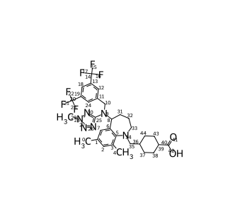 Cc1cc(C)c2c(c1)C(N(Cc1cc(C(F)(F)F)cc(C(F)(F)F)c1)c1nnn(C)n1)CCCN2CC1CCC(C(=O)O)CC1